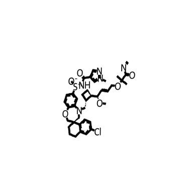 C=NC(=O)C(C)(C)OC/C=C/[C@H](OC)[C@@H]1CC[C@H]1CN1C[C@@]2(CCCc3cc(Cl)ccc32)COc2ccc([S+]([O-])NC(=O)c3cnn(C)c3)cc21